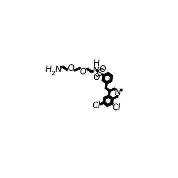 CN1Cc2c(Cl)cc(Cl)cc2C(Cc2cccc(S(=O)(=O)NCCOCCOCCN)c2)C1